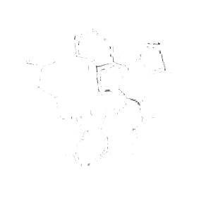 CN(C)CCCn1nc(C2=C(c3cc4ccccc4n3-c3cccs3)CNC2=O)c2ccccc21